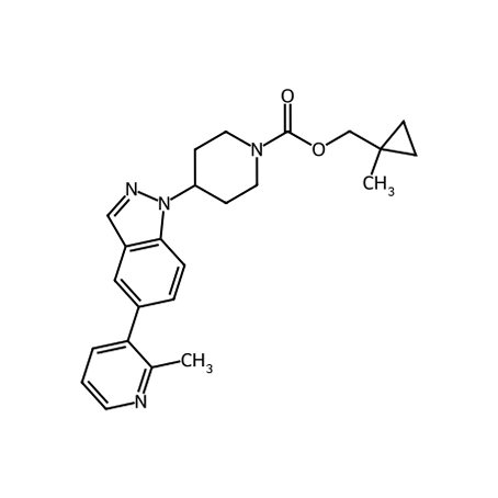 Cc1ncccc1-c1ccc2c(cnn2C2CCN(C(=O)OCC3(C)CC3)CC2)c1